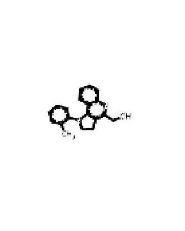 Cc1ccccc1N1CCc2c(CO)nc3ccccc3c21